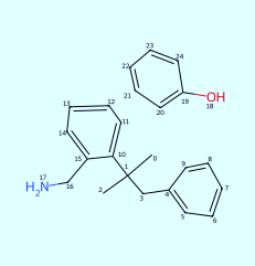 CC(C)(Cc1ccccc1)c1ccccc1CN.Oc1ccccc1